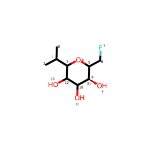 CC(C)C1OC(CF)[C@@H](O)C(O)C1O